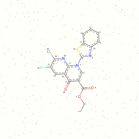 CCOC(=O)c1cn(-c2nc3ccccc3s2)c2nc(Cl)c(F)cc2c1=O